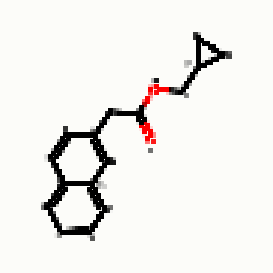 O=C(Cc1ccc2ccccc2c1)OCC1CC1